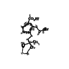 CCOC(=O)c1cnn(CCC2(C)OCCO2)c1COC(C)(C)C